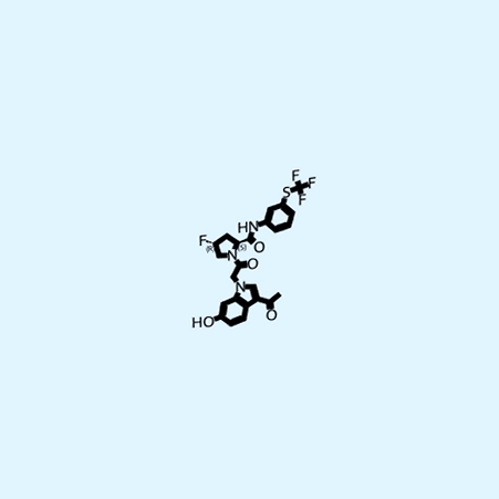 CC(=O)c1cn(CC(=O)N2C[C@H](F)C[C@H]2C(=O)Nc2cccc(SC(F)(F)F)c2)c2cc(O)ccc12